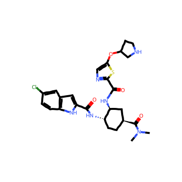 CN(C)C(=O)[C@H]1CC[C@H](NC(=O)c2cc3cc(Cl)ccc3[nH]2)[C@@H](NC(=O)c2ncc(OC3CCNC3)s2)C1